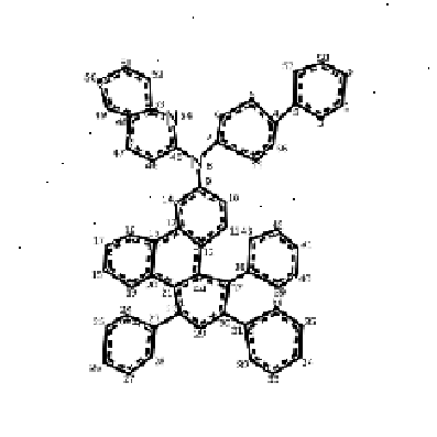 c1ccc(-c2ccc(N(c3ccc4c(c3)c3ccccc3c3c(-c5ccccc5)cc(-c5ccccc5)c(-c5ccccc5)c43)c3ccc4ccccc4n3)cc2)cc1